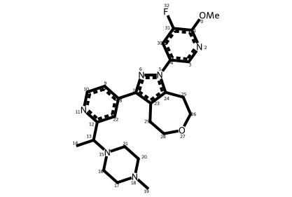 COc1ncc(-n2nc(-c3ccnc(C(C)N4CCN(C)CC4)c3)c3c2CCOCC3)cc1F